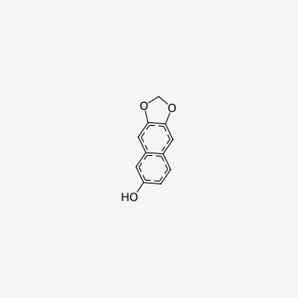 Oc1ccc2cc3c(cc2c1)OCO3